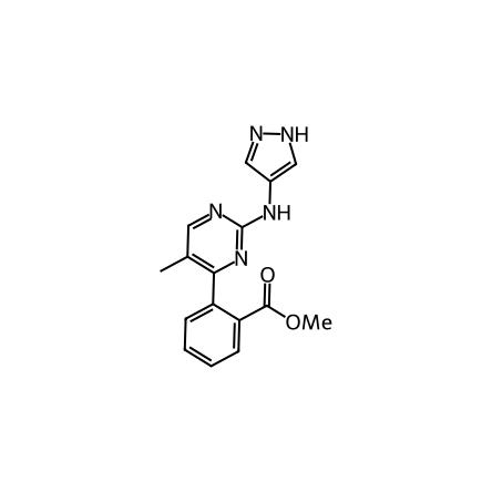 COC(=O)c1ccccc1-c1nc(Nc2cn[nH]c2)ncc1C